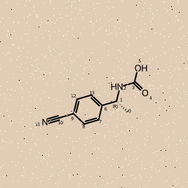 C[C@@H](NC(=O)O)c1ccc(C#N)cc1